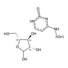 CCCCCCCCNc1cc[nH]c(=O)n1.OC[C@H]1OC(O)[C@@H](O)[C@@H]1O